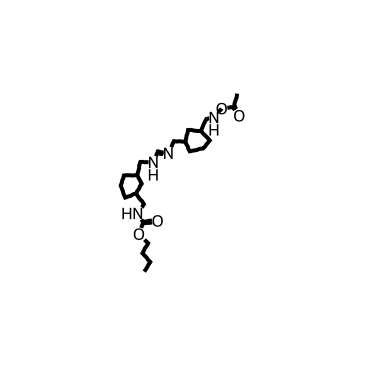 CCCCOC(=O)NCC1CCCC(CN/C=N/CC2CCCC(CNOC(C)=O)C2)C1